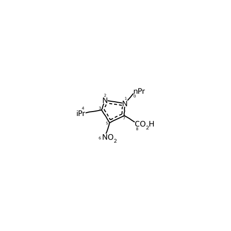 CCCn1nc(C(C)C)c([N+](=O)[O-])c1C(=O)O